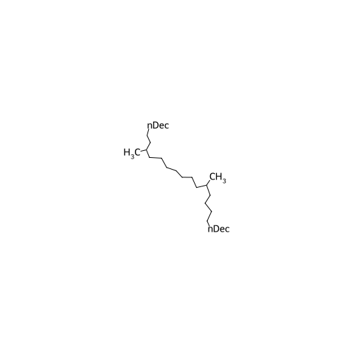 CCCCCCCCCCCCCCC(C)CCCCCCCC(C)CCCCCCCCCCCC